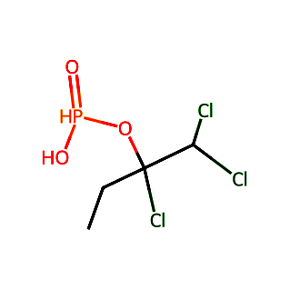 CCC(Cl)(O[PH](=O)O)C(Cl)Cl